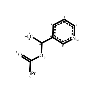 CCCC(=O)OC(C)c1cccnc1